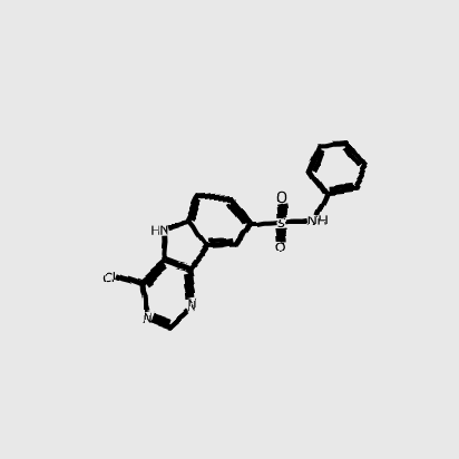 O=S(=O)(Nc1ccccc1)c1ccc2[nH]c3c(Cl)ncnc3c2c1